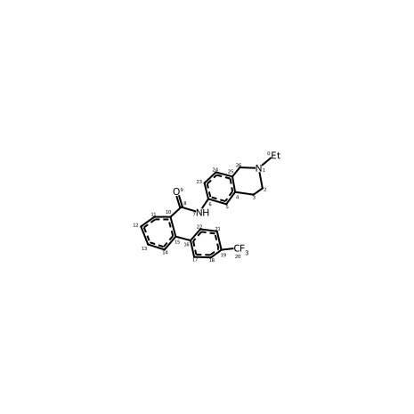 CCN1CCc2cc(NC(=O)c3ccccc3-c3ccc(C(F)(F)F)cc3)ccc2C1